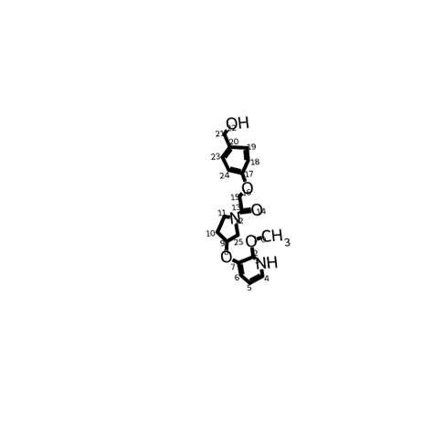 COC1NC=CC=C1OC1CCN(C(=O)COc2ccc(CO)cc2)C1